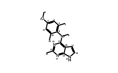 COc1cc(C)c(N(C)c2nc(C)nc3[nH]ccc23)c(C)c1